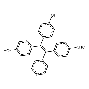 O=Cc1ccc(C(=C(c2ccc(O)cc2)c2ccc(O)cc2)c2ccccc2)cc1